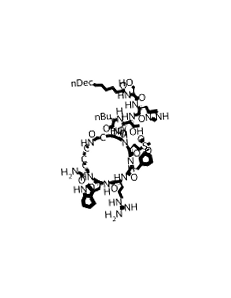 CCCCCCCCCCCCCCCC(=O)N[C@@H](CO)C(=O)N[C@@H](Cc1c[nH]cn1)C(=O)N[C@@H](C(C)O)[C@H](O)N[C@@H](CCCC)C(=O)N[C@H]1CCC(=O)NCCCC[C@@H](C(N)=O)NC(=O)[C@H](Cc2c[nH]c3ccccc23)NC(=O)[C@H](CCCNC(=N)N)NC(=O)[C@@H](Cc2ccccc2)NC(=O)[C@H](CCS(C)(=O)=O)NC1=O